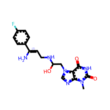 Cn1c(=O)[nH]c(=O)c2c1ncn2CC(O)NC/C=C(\N)c1ccc(F)cc1